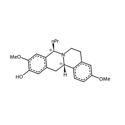 CCC[C@@H]1c2cc(OC)c(O)cc2C[C@H]2c3ccc(OC)cc3CCN12